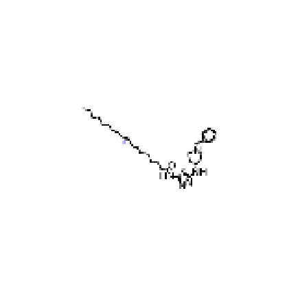 CCCCCCCC/C=C/CCCCCCCC(=O)Nc1nnc(NC2CCN(Cc3ccccc3)CC2)s1